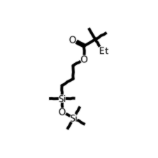 CCC(C)(C)C(=O)OCCC[Si](C)(C)O[Si](C)(C)C